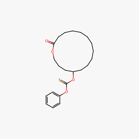 O=C1CCCCCCCCCCC(OC(=S)Oc2ccccc2)CCCO1